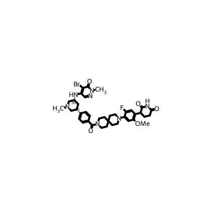 COc1cc(N2CCC3(CCN(C(=O)c4ccc([C@H]5C[C@@H](Nc6cnn(C)c(=O)c6Br)CN(C)C5)cc4)CC3)CC2)c(F)cc1C1CCC(=O)NC1=O